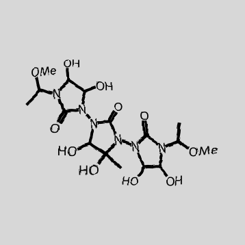 COC(C)N1C(=O)N(N2C(=O)N(N3C(=O)N(C(C)OC)C(O)C3O)C(C)(O)C2O)C(O)C1O